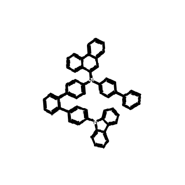 c1ccc(-c2ccc(N(c3ccc(-c4ccccc4-c4ccc(-n5c6ccccc6c6ccccc65)cc4)cc3)c3cc4ccccc4c4ccccc34)cc2)cc1